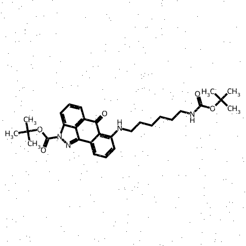 CC(C)(C)OC(=O)NCCCCCCNc1cccc2c1C(=O)c1cccc3c1c-2nn3C(=O)OC(C)(C)C